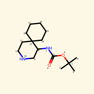 CC(C)(C)OC(=O)NC1CNCCC12CCCCC2